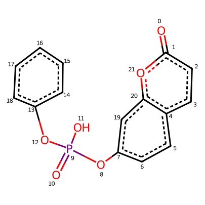 O=c1ccc2ccc(OP(=O)(O)Oc3ccccc3)cc2o1